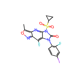 Cc1onc2c(F)c3c(nc12)n(S(=O)(=O)C1CC1)c(=O)n3-c1ccc(I)cc1F